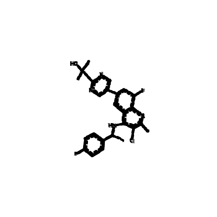 Cc1nc2c(F)cc(-c3cnc(C(C)(C)O)nc3)cc2c(NC(C)c2ccc(F)cc2)c1Cl